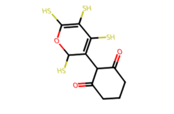 O=C1CCCC(=O)C1C1=C(S)C(S)=C(S)OC1S